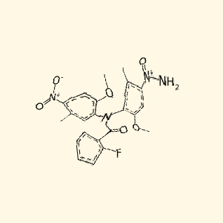 COc1cc([N+](N)=O)c(C)cc1N(C(=O)c1ccccc1F)c1cc(C)c([N+](=O)[O-])cc1OC